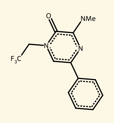 CNc1nc(-c2ccccc2)cn(CC(F)(F)F)c1=O